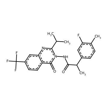 Cc1ccc(C(C)C(=O)Nn2c(C(C)C)nc3cc(C(F)(F)F)ccc3c2=O)cc1F